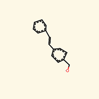 [O]Cc1ccc(C=Cc2ccccc2)cc1